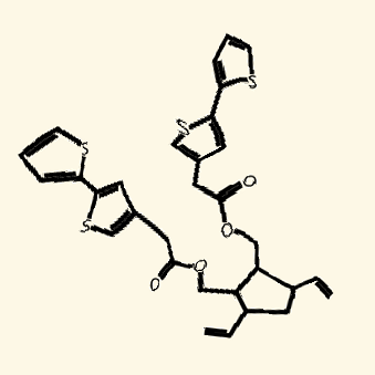 C=CC1CC(C=C)C(COC(=O)Cc2csc(-c3cccs3)c2)C1COC(=O)Cc1csc(-c2cccs2)c1